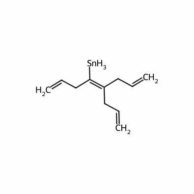 C=CC[C]([SnH3])=C(CC=C)CC=C